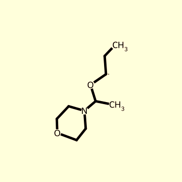 CC[CH]OC(C)N1CCOCC1